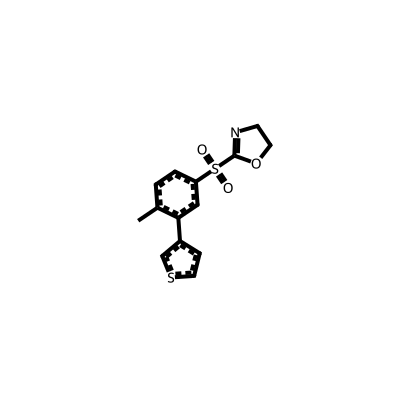 Cc1ccc(S(=O)(=O)C2=NCCO2)cc1-c1ccsc1